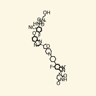 CN(CCO)S(=O)(=O)Nc1ccc(F)c(Oc2ccc3ncc([C@H]4COC5(CCN(C6CCC(c7cc8c(cc7F)c(N7CCC(=O)NC7=O)nn8C)CC6)CC5)C4)nc3c2)c1C#N